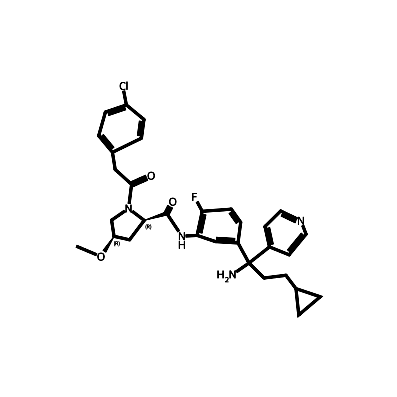 CO[C@@H]1C[C@H](C(=O)Nc2cc(C(N)(CCC3CC3)c3ccncc3)ccc2F)N(C(=O)Cc2ccc(Cl)cc2)C1